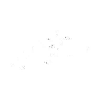 COC(=O)[C@H](Cc1ccc(-c2ccc(F)c(Cl)c2)cc1)NC(=O)C1(Cl)CC(c2ccc(F)cc2)=CC=C1O